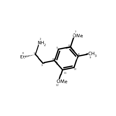 CC[C@H](N)Cc1cc(OC)c(C)cc1OC